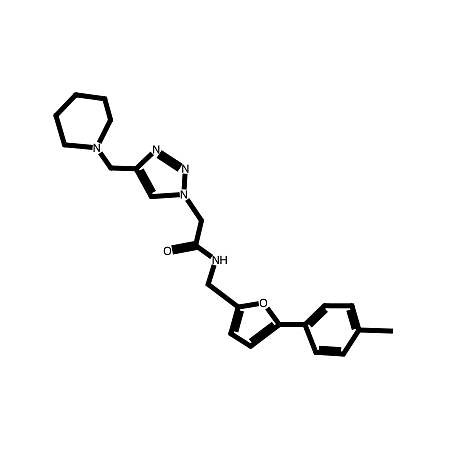 Cc1ccc(-c2ccc(CNC(=O)Cn3cc(CN4CCCCC4)nn3)o2)cc1